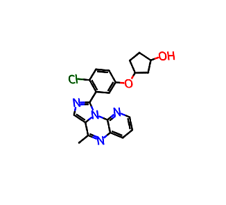 Cc1nc2cccnc2n2c(-c3cc(OC4CCC(O)C4)ccc3Cl)ncc12